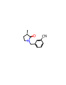 C[C@@H]1CCN(Cc2cccc(C#N)c2)C1=O